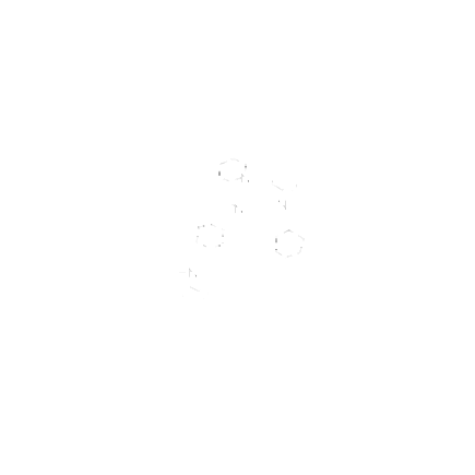 CC(C)(C)OC(=O)NCc1cccc(CN(C[C@H]2Cc3ccccc3CN2C(=O)OC(C)(C)C)[C@H]2CCCc3cccnc32)c1